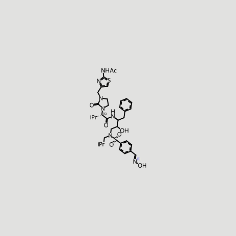 CC(=O)Nc1nc(CN2CCN([C@H](C(=O)NC(Cc3ccccc3)C(O)CN(CC(C)C)S(=O)(=O)c3ccc(/C=N/O)cc3)C(C)C)C2=O)cs1